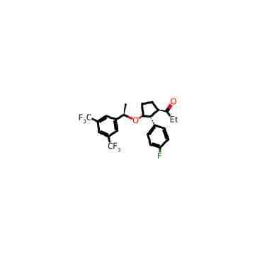 CCC(=O)[C@@H]1CC[C@H](O[C@H](C)c2cc(C(F)(F)F)cc(C(F)(F)F)c2)[C@H]1c1ccc(F)cc1